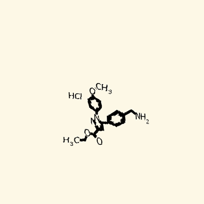 CCOC(=O)c1cc(-c2ccc(CN)cc2)n(-c2ccc(OC)cc2)n1.Cl